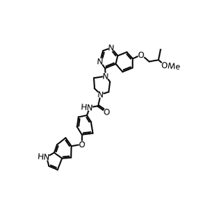 COC(C)COc1ccc2c(N3CCN(C(=O)Nc4ccc(Oc5ccc6[nH]ccc6c5)cc4)CC3)ncnc2c1